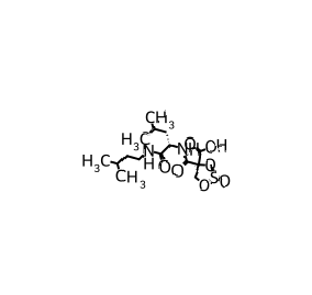 CC(C)CCNC(=O)[C@H](CC(C)C)NC(=O)C1(C(=O)O)COS(=O)O1